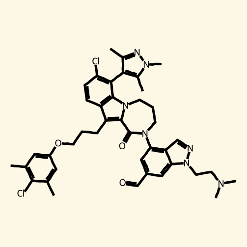 Cc1cc(OCCCc2c3n(c4c(-c5c(C)nn(C)c5C)c(Cl)ccc24)CCCN(c2cc(C=O)cc4c2cnn4CCN(C)C)C3=O)cc(C)c1Cl